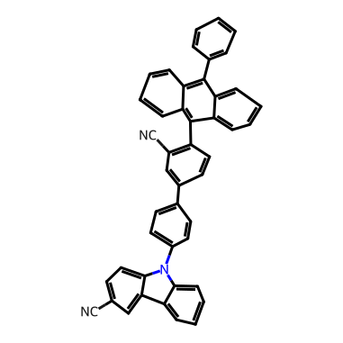 N#Cc1ccc2c(c1)c1ccccc1n2-c1ccc(-c2ccc(-c3c4ccccc4c(-c4ccccc4)c4ccccc34)c(C#N)c2)cc1